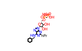 CCCc1nc(NCc2ccccc2)c2ncn([C@@H]3O[C@H](COP(=O)(O)CP(=O)(O)O)[C@@H](O)[C@H]3O)c2n1